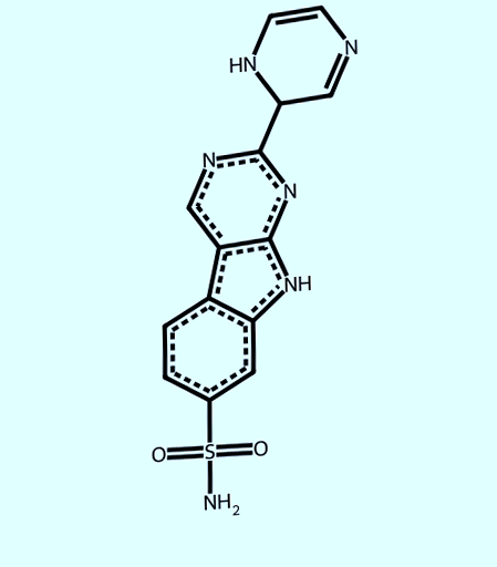 NS(=O)(=O)c1ccc2c(c1)[nH]c1nc(C3C=NC=CN3)ncc12